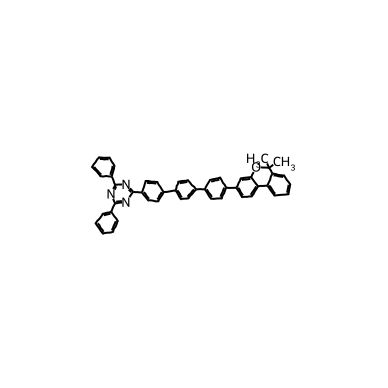 CC1(C)Oc2cc(-c3ccc(-c4ccc(-c5ccc(-c6nc(-c7ccccc7)nc(-c7ccccc7)n6)cc5)cc4)cc3)ccc2-c2ccccc21